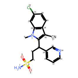 Cn1c(C(CCS(N)(=O)=O)c2cccnc2)c(C#N)c2ccc(Cl)cc21